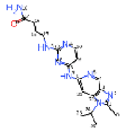 Cc1nc2cnc(Nc3ccnc(NCCCC(N)=O)n3)cc2n1C(C)C